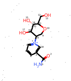 NC(=O)c1ccc[n+](C2COC(CO)[C@@H](O)C2O)c1